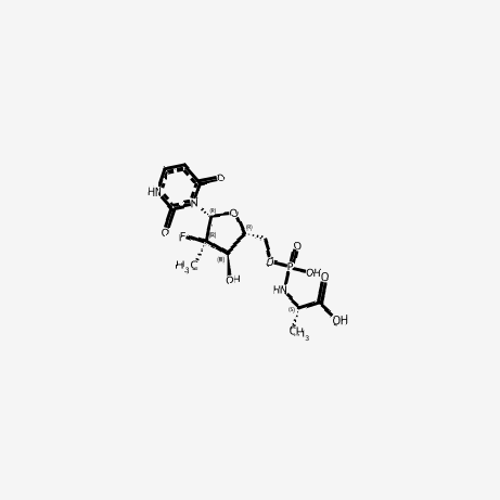 C[C@H](NP(=O)(O)OC[C@H]1O[C@@H](n2c(=O)cc[nH]c2=O)[C@](C)(F)[C@@H]1O)C(=O)O